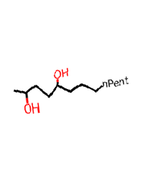 CCCCCCCCC(O)CCC(C)O